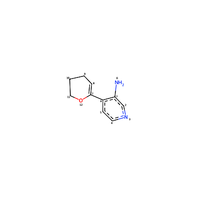 Nc1cnccc1C1=CCCCO1